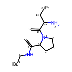 C=C(NCC(C)CC)C1CCCN1C(=C)C(N)CC(C)C